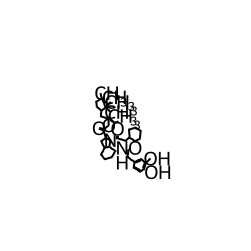 CC(CC1CCC(C)(C)C1(C)C)OC(=O)C1CC2CCCCC2N1C(=O)C(NC(=O)Cc1ccc(O)c(O)c1)C1CCCCC1